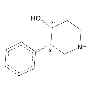 O[C@@H]1CCNC[C@@H]1c1ccccc1